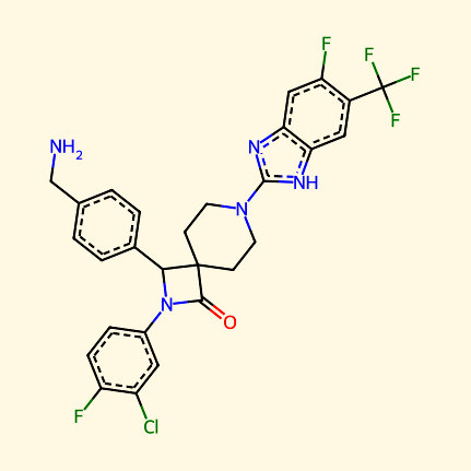 NCc1ccc(C2N(c3ccc(F)c(Cl)c3)C(=O)C23CCN(c2nc4cc(F)c(C(F)(F)F)cc4[nH]2)CC3)cc1